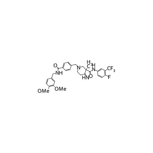 COc1ccc(CNC(=O)c2ccc(CN3CCC(=N)C(C)(C(=O)Nc4ccc(F)c(C(F)(F)F)c4)C3)cc2)cc1OC